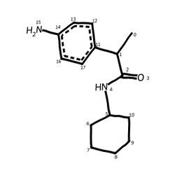 CC(C(=O)NC1CCCCC1)c1ccc(N)cc1